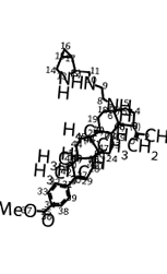 C=C(C)[C@@H]1CC[C@]2(NCCNC[C@H]3NCC4CC43)CC[C@]3(C)[C@H](CC[C@@H]4[C@@]5(C)CC=C(c6ccc(C(=O)OC)cc6)C(C)(C)[C@@H]5CC[C@]43C)[C@@H]12